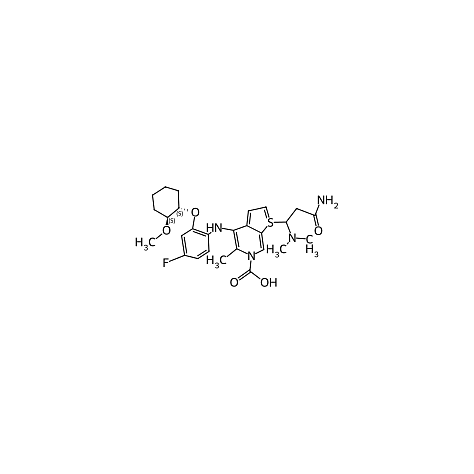 CO[C@H]1CCCC[C@@H]1Oc1cc(F)ccc1NC1=C(C)N(C(=O)O)C=C2C1=CC=S2C(CC(N)=O)N(C)C